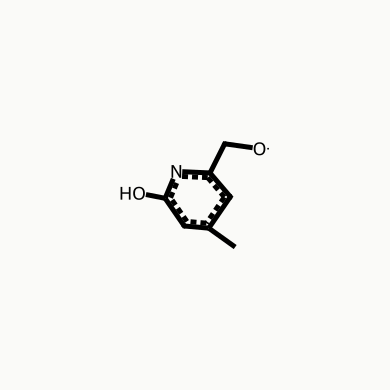 Cc1cc(O)nc(C[O])c1